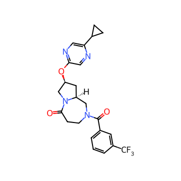 O=C(c1cccc(C(F)(F)F)c1)N1CCC(=O)N2C[C@@H](Oc3cnc(C4CC4)cn3)C[C@H]2C1